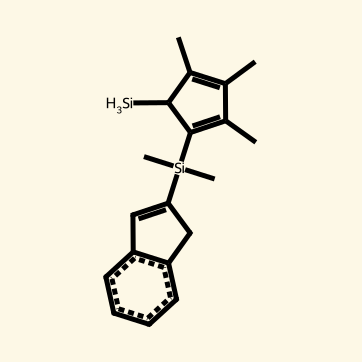 CC1=C(C)C([SiH3])C([Si](C)(C)C2=Cc3ccccc3C2)=C1C